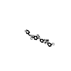 O=C(NCc1cccnc1)c1ccc2c(c1)ncn2-c1cccc(NS(=O)(=O)c2cccc(Cl)c2)c1